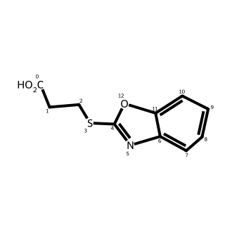 O=C(O)CCSc1nc2ccccc2o1